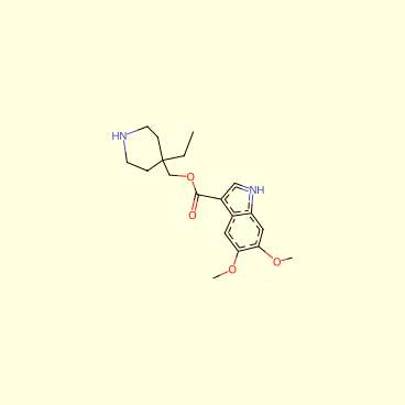 CCC1(COC(=O)c2c[nH]c3cc(OC)c(OC)cc23)CCNCC1